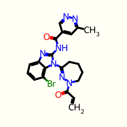 C=CC(=O)N1CCCCC(n2c(NC(=O)c3cnnc(C)c3)nc3cccc(Br)c32)=N1